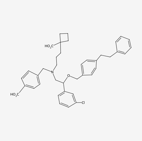 O=C(O)c1ccc(CN(CCCC2(C(=O)O)CCC2)CC(OCc2ccc(CCc3ccccc3)cc2)c2cccc(Cl)c2)cc1